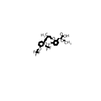 CCO[C@@H](Cc1cccc(I)c1OCC=C(C)C#CC1(OCC(F)(F)F)C=CC=C(OCC(F)(F)F)C1)C(=O)O